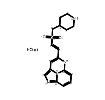 Cl.Cl.O=S(=O)(/C=C/C1=Cc2cnc3cccc(n23)S1)CC1CCNCC1